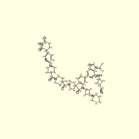 CC(C)n1cnc2cc(-c3ccc4c(c3)N(C3CC(N5CCCCC5)C3)C(=O)C43CCN(C(=O)C4(C)CCN(C(=O)C5CCN(c6ccc(C7CCC(=O)NC7=O)cn6)CC5)CC4)CC3)nc(NC3CC(C#N)C3)c21